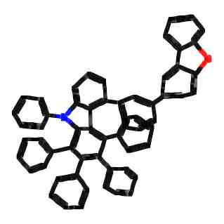 c1ccc(-c2c(-c3ccccc3)c(-c3ccccc3)c3c(c2-c2ccccc2)c2c(-c4cccc(-c5ccc6oc7ccccc7c6c5)c4)cccc2n3-c2ccccc2)cc1